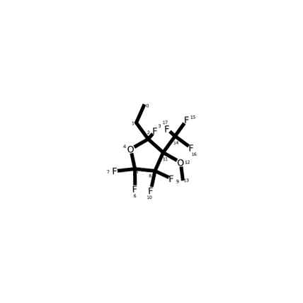 CCC1(F)OC(F)(F)C(F)(F)C1(OC)C(F)(F)F